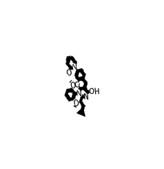 COc1cccc(OC)c1-n1c(CCC2CC2)nc(O)c(Cc2ccc(-n3ccccc3=O)cc2)c1=O